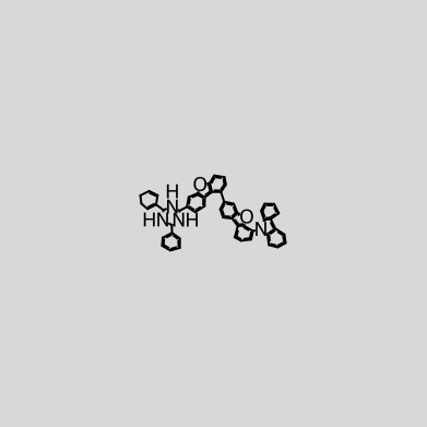 C1=CC(C2NC(c3ccccc3)NC(c3ccc4c(c3)oc3cccc(-c5ccc6c(c5)oc5c(-n7c8ccccc8c8ccccc87)cccc56)c34)N2)=CCC1